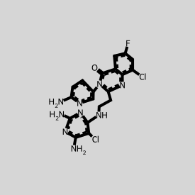 Nc1ccc(-n2c(CCNc3nc(N)nc(N)c3Cl)nc3c(Cl)cc(F)cc3c2=O)cn1